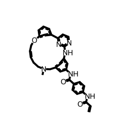 C=CC(=O)Nc1ccc(C(=O)Nc2cc3cc(c2)Nc2nccc(n2)-c2cccc(c2)OC/C=C\CCN(C)C3)cc1